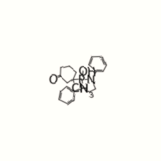 CC1([P]2(O)N(c3ccccc3)CCN2c2ccccc2)CCCC(=O)C1